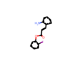 Nc1ccccc1C=CC(=O)Oc1ccccc1I